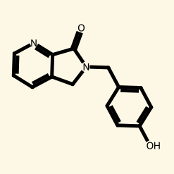 O=C1c2ncccc2CN1Cc1ccc(O)cc1